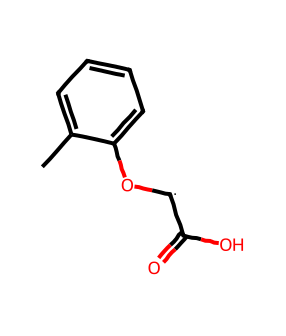 Cc1ccccc1O[CH]C(=O)O